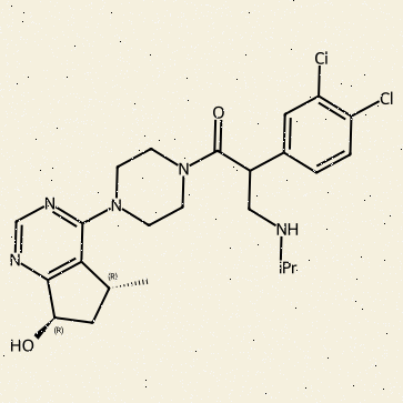 CC(C)NCC(C(=O)N1CCN(c2ncnc3c2[C@H](C)C[C@H]3O)CC1)c1ccc(Cl)c(Cl)c1